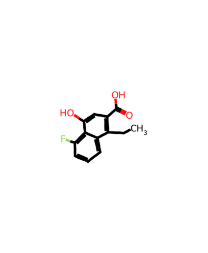 CCc1c(C(=O)O)cc(O)c2c(F)cccc12